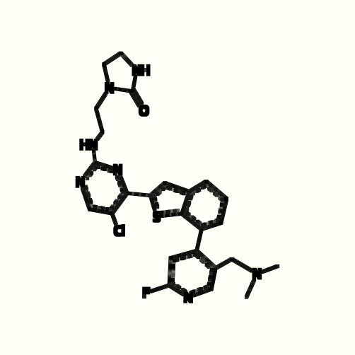 CN(C)Cc1cnc(F)cc1-c1cccc2cc(-c3nc(NCCN4CCNC4=O)ncc3Cl)sc12